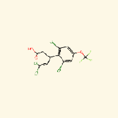 O=C(O)CC(C=C(Cl)Cl)c1c(Cl)cc(OC(F)(F)F)cc1Cl